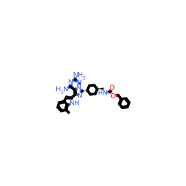 Cc1cccc2cc(-c3nc([C@H]4CC[C@H](CNC(=O)OCc5ccccc5)CC4)n4nc(N)nc(N)c34)[nH]c12